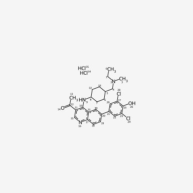 CCN(C)CC1CCC(Nc2c(C(C)=O)cnc3ccc(-c4cc(Cl)c(O)c(Cl)c4)cc23)CC1.Cl.Cl